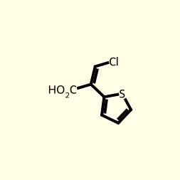 O=C(O)/C(=C/Cl)c1cccs1